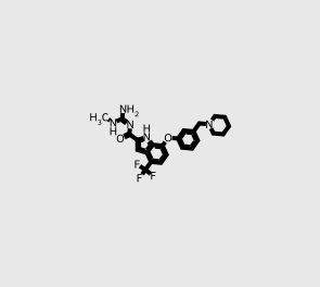 CNC(N)=NC(=O)c1cc2c(C(F)(F)F)ccc(Oc3cccc(CN4CCCCC4)c3)c2[nH]1